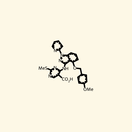 COc1ccc(COc2cccc3c2c(Nc2nc(SC)ncc2C(=O)O)nn3-c2ccccn2)cc1